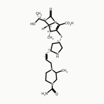 CC1CN(C(N)=O)CCN1C/C=C\[C@@H]1C[C@H](SC2=C(C(=O)O)N3C(=O)[C@H]([C@@H](C)O)[C@H]3[C@H]2C)CN1